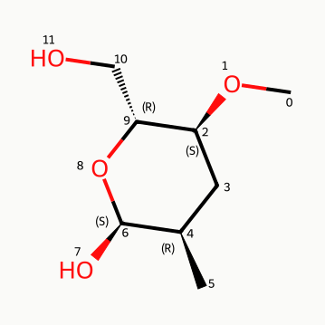 CO[C@H]1C[C@@H](C)[C@@H](O)O[C@@H]1CO